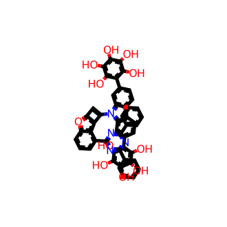 Oc1c(O)c(O)c(-c2ccc3c4ccc(-c5c(O)c(O)c(O)c(O)c5O)cc4n(C4=Cc5oc6cccc(-c7nc(-c8ccccc8)nc(-c8ccccc8)n7)c6c54)c3c2)c(O)c1O